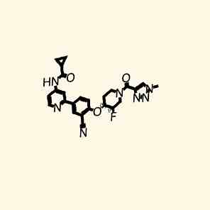 Cn1cc(C(=O)N2CC[C@H](Oc3ccc(-c4cc(NC(=O)C5CC5)ccn4)cc3C#N)[C@H](F)C2)nn1